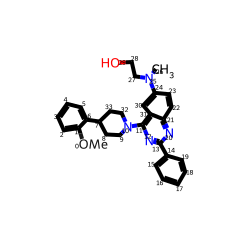 COc1ccccc1C1CCN(c2nc(-c3ccccc3)nc3ccc(N(C)CCO)cc23)CC1